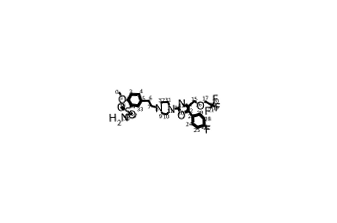 COc1ccc(CCN2CCN(c3nc(COCC(F)(F)F)c(-c4ccc(F)cc4)o3)CC2)cc1S(N)(=O)=O